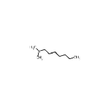 CCCCC[CH]CN(C)C